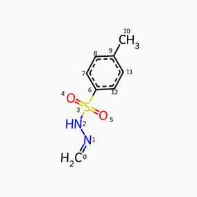 C=NNS(=O)(=O)c1ccc(C)cc1